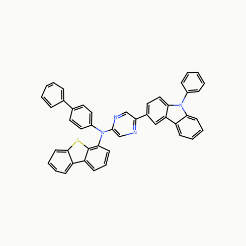 c1ccc(-c2ccc(N(c3cnc(-c4ccc5c(c4)c4ccccc4n5-c4ccccc4)cn3)c3cccc4c3sc3ccccc34)cc2)cc1